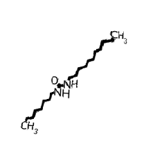 CCCCCCCCCCCNC(=O)NCCCCCCCC